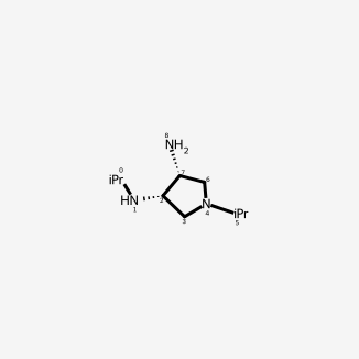 CC(C)N[C@H]1CN(C(C)C)C[C@H]1N